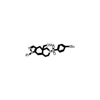 COCC12Cc3cnn(C(C)C)c3C=C1CCN(S(=O)(=O)c1ccc(C(C)(C)C)cc1)C2